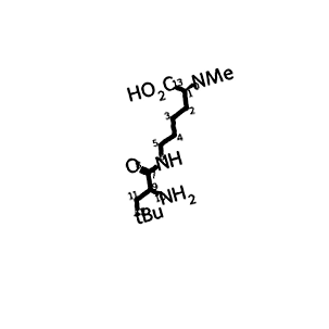 CN[C@@H](CCCCNC(=O)C(N)CC(C)(C)C)C(=O)O